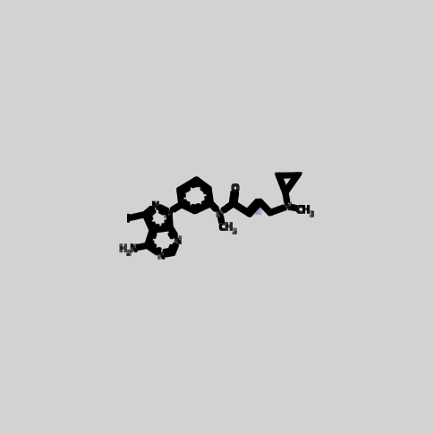 CN(C(=O)/C=C/CN(C)C1CC1)c1cccc(-n2nc(I)c3c(N)ncnc32)c1